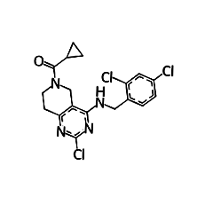 O=C(C1CC1)N1CCc2nc(Cl)nc(NCc3ccc(Cl)cc3Cl)c2C1